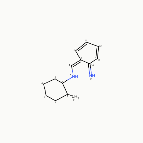 CC1CCCCC1N/C=C1/C=CC=CC1=N